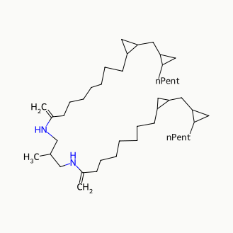 C=C(CCCCCCCC1CC1CC1CC1CCCCC)NCC(C)CNC(=C)CCCCCCCC1CC1CC1CC1CCCCC